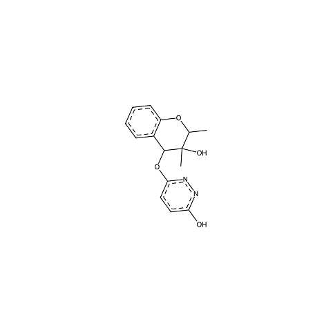 CC1Oc2ccccc2C(Oc2ccc(O)nn2)C1(C)O